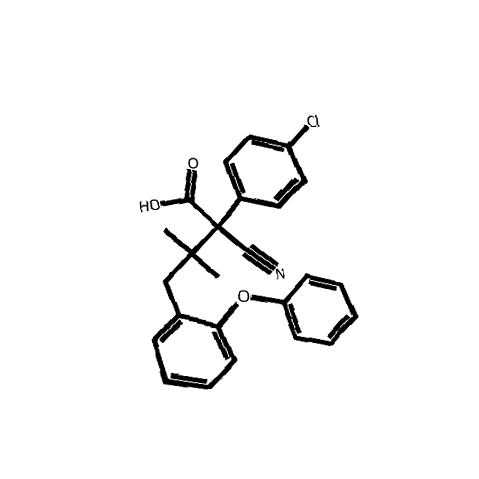 CC(C)(Cc1ccccc1Oc1ccccc1)C(C#N)(C(=O)O)c1ccc(Cl)cc1